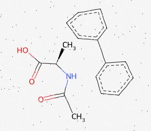 CC(=O)N[C@H](C)C(=O)O.c1ccc(-c2ccccc2)cc1